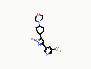 CC(C)n1nc(-c2cncc(C(F)(F)F)c2)cc1C1CCC(N2CCOCC2)CC1